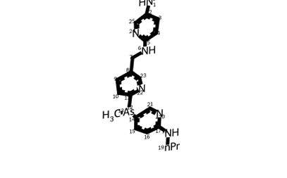 CCCNc1ccc(NCc2ccc([As](C)c3ccc(NCCC)nc3)nc2)nc1